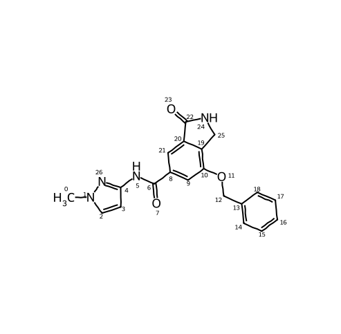 Cn1ccc(NC(=O)c2cc(OCc3ccccc3)c3c(c2)C(=O)NC3)n1